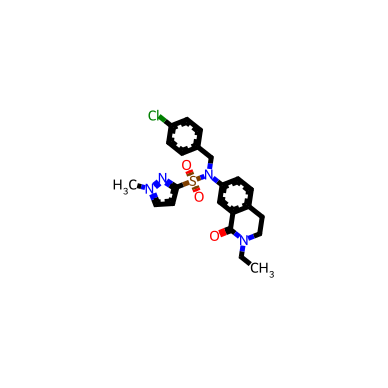 CCN1CCc2ccc(N(Cc3ccc(Cl)cc3)S(=O)(=O)c3ccn(C)n3)cc2C1=O